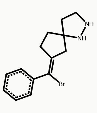 BrC(=C1CCC2(CCNN2)C1)c1ccccc1